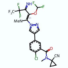 CN/C(=C(/OC(F)F)C(=N)C(F)(F)C(F)(F)F)n1cc(-c2ccc(Cl)c(C(=O)N(C)C3(C#N)CC3)c2)cn1